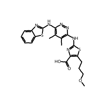 COCCCc1sc(Nc2nnc(Nc3nc4ccccc4s3)c(C)c2C)nc1C(=O)O